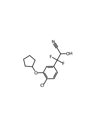 N#CC(O)C(F)(F)c1ccc(Cl)c(OC2CCCC2)c1